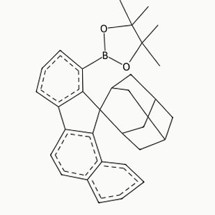 CC1(C)OB(c2cccc3c2C2(c4c-3ccc3ccccc43)C3CC4CC(C3)CC2C4)OC1(C)C